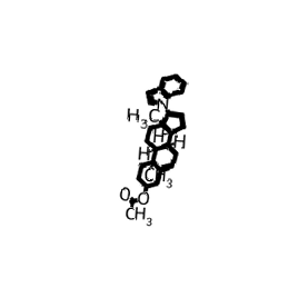 CC(=O)OC1CC[C@@]2(C)C(=CC[C@@H]3[C@@H]2CC[C@]2(C)C(n4ccc5ccccc54)=CC[C@@H]32)C1